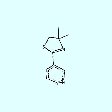 CC1(C)CSC(c2ccnnc2)=N1